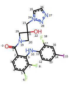 O=C(c1ccc(F)c(F)c1Nc1ccc(I)cc1F)N1CC(O)(Cn2ccnn2)C1